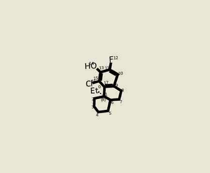 CC[C@@]12CCCCC1CCc1cc(F)c(O)c(Cl)c12